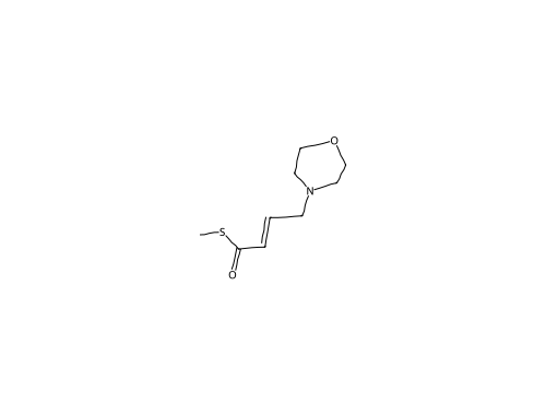 CSC(=O)/C=C/CN1CCOCC1